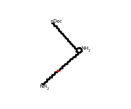 CCCCCCCCCCCCCCCCCCCCCCCCCCCCCCCC1CCC(N)CCC(CCCCCCCCCCCCCCCCCCCCCCCCCCCCN)C1